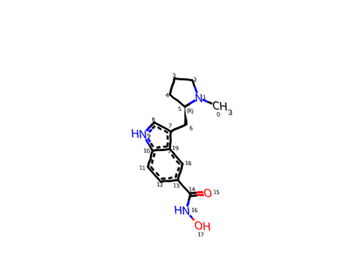 CN1CCC[C@@H]1Cc1c[nH]c2ccc(C(=O)NO)cc12